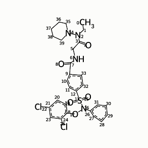 CCN(C(=O)CNC(=O)c1ccc(S(=O)(=O)N(Oc2ccc(Cl)cc2Cl)c2ccccc2)cc1)N1CCCCC1